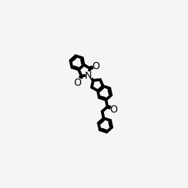 O=C(Cc1ccccc1)c1ccc2c(c1)CC(N1C(=O)c3ccccc3C1=O)C2